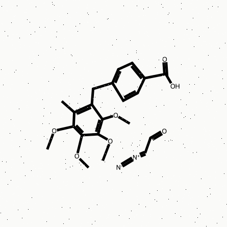 COc1c(C)c(Cc2ccc(C(=O)O)cc2)c(OC)c(OC)c1OC.[N-]=[N+]=CC=O